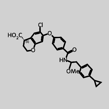 COC(Cc1ccc(C2CC2)cc1)NC(=O)c1ccc(Oc2cc3c(cc2Cl)[C@@H](C(=O)O)CCO3)cc1